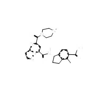 Cc1c(C(=O)O)ccc2c1CC[C@@H]2NC(=O)c1cc(C(=O)N2CCN(C)CC2)nc2ccnn12